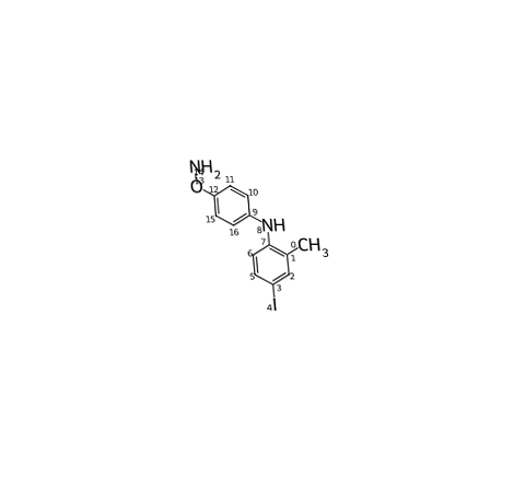 Cc1cc(I)ccc1Nc1ccc(ON)cc1